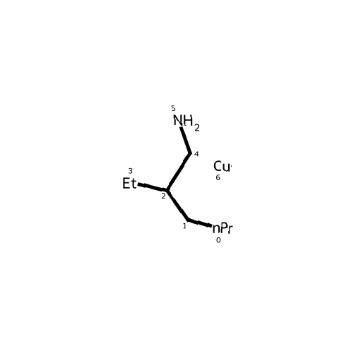 CCCCC(CC)CN.[Cu]